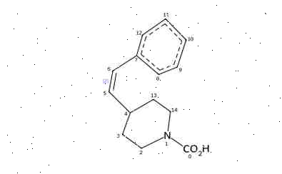 O=C(O)N1CCC(/C=C\c2ccccc2)CC1